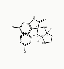 O=C1Nc2cc(Cl)ccc2[C@]12N[C@H]1CCN[C@H]1[C@@H]2c1cccc(Cl)c1